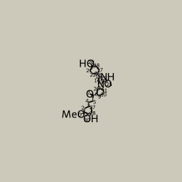 COc1cc(/C=C/C(=O)c2cccc(-n3cc(-c4ccc(O)cc4)[nH]c3=O)c2)ccc1O